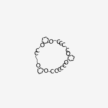 c1ccc2c(c1)OCCCCCCOc1ccccc1OCCCCCCOc1ccccc1OCCCCCCO2